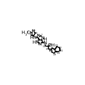 Cn1cc(Nc2ncnc3c(NCC(O)CN4CCc5ccccc5C4)n[nH]c23)cn1